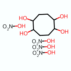 O=[N+]([O-])O.O=[N+]([O-])O.O=[N+]([O-])O.O=[N+]([O-])O.OC1CCC(O)C(O)CCC1O